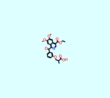 CCOC(=O)c1cnc(C(=O)c2cccc(OCC(C)C(=O)O)c2)c2cc(OC)c(OC)cc12